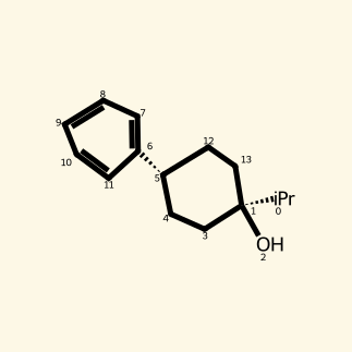 CC(C)[C@]1(O)CC[C@H](c2ccccc2)CC1